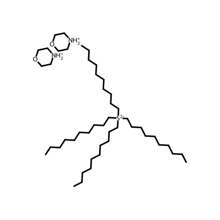 C1COCC[NH2+]1.C1COCC[NH2+]1.CCCCCCCCCC[S-2](CCCCCCCCCC)(CCCCCCCCCC)CCCCCCCCCC